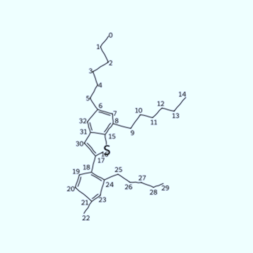 CCCCCCc1cc(CCCCCC)c2sc(-c3ccc(C)cc3CCCCC)cc2c1